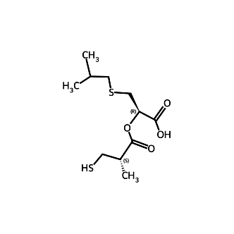 CC(C)CSC[C@H](OC(=O)[C@H](C)CS)C(=O)O